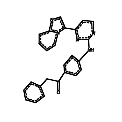 O=C(Cc1ccccc1)c1ccc(Nc2nccc(-c3cnc4ccccn34)n2)cc1